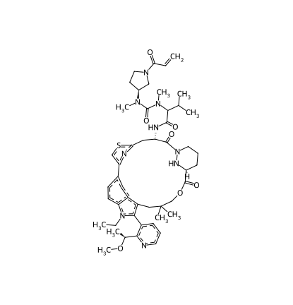 C=CC(=O)N1CC[C@H](N(C)C(=O)N(C)C(C(=O)N[C@H]2Cc3nc(cs3)-c3ccc4c(c3)c(c(-c3cccnc3[C@H](C)OC)n4CC)CC(C)(C)COC(=O)[C@@H]3CCCN(N3)C2=O)C(C)C)C1